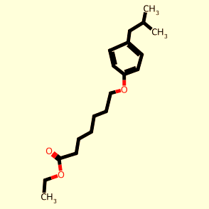 CCOC(=O)CCCCCCOc1ccc(CC(C)C)cc1